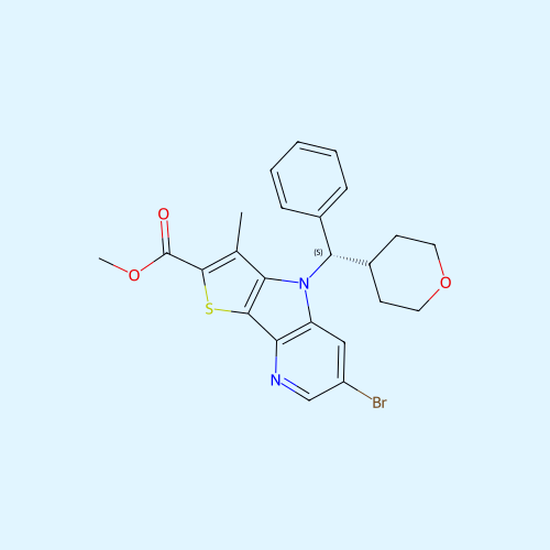 COC(=O)c1sc2c3ncc(Br)cc3n([C@H](c3ccccc3)C3CCOCC3)c2c1C